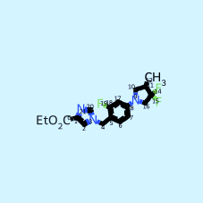 CCOC(=O)c1cn(Cc2ccc(N3CC(C)C(F)(F)C3)cc2F)cn1